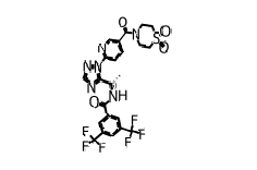 C[C@H](NC(=O)c1cc(C(F)(F)F)cc(C(F)(F)F)c1)c1ncnn1-c1ccc(C(=O)N2CCS(=O)(=O)CC2)cn1